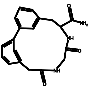 NC(=O)C1Cc2cccc(c2)-c2cccc(c2)CC(=O)NCC(=O)N1